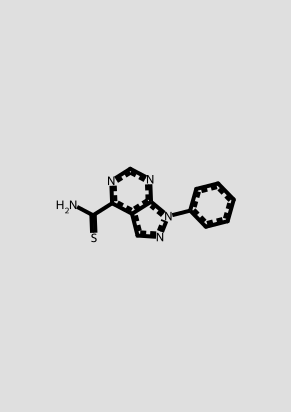 NC(=S)c1ncnc2c1cnn2-c1ccccc1